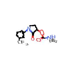 CC(C)(C)NC(=O)OC1CCN(c2cccc(C(F)(F)F)c2)C1=O